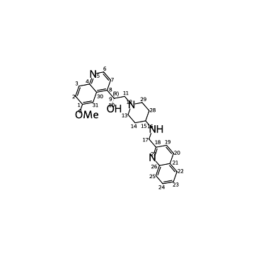 COc1ccc2nccc([C@@H](O)CN3CCC(NCc4ccc5ccccc5n4)CC3)c2c1